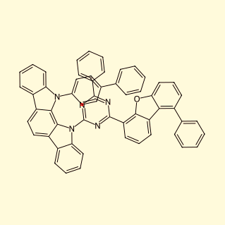 c1ccc(-c2ccc(-n3c4ccccc4c4ccc5c6ccccc6n(-c6nc(-c7ccccc7)nc(-c7cccc8c7oc7cccc(-c9ccccc9)c78)n6)c5c43)cc2)cc1